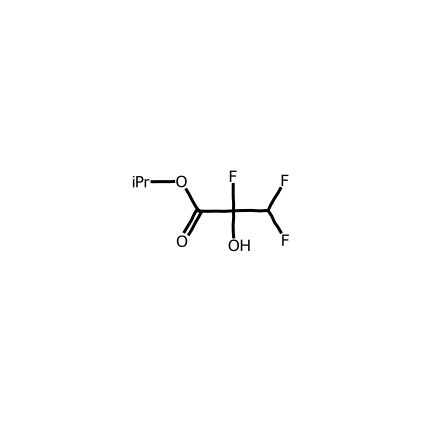 CC(C)OC(=O)C(O)(F)C(F)F